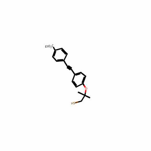 CCOC(=O)c1ccc(C#Cc2ccc(OC(C)(C)CS)cc2)cc1